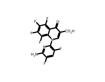 Nc1nc(-n2cc(C(=O)O)c(=O)c3c(F)c(F)c(F)c(F)c32)c(F)cc1F